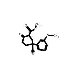 COC(=O)C1CC(C#N)(c2cccc(OC)c2)CCC1=O